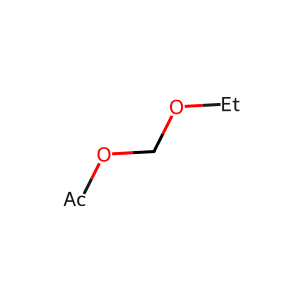 [CH2]C(=O)OCOCC